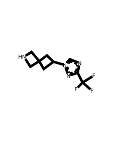 FC(F)(F)c1ncn(C2CC3(CNC3)C2)n1